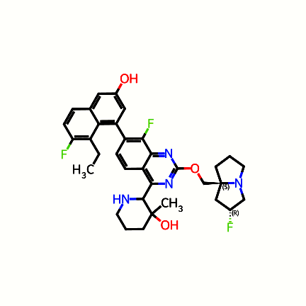 CCc1c(F)ccc2cc(O)cc(-c3ccc4c(C5NCCCC5(C)O)nc(OC[C@@]56CCCN5C[C@H](F)C6)nc4c3F)c12